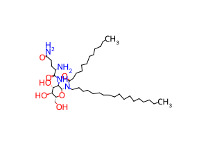 CCCCCCCCCCCCCCCCCCN(C(=O)CCCCCCCCCCC)[C@@H]1O[C@H](CO)[C@@H](O)[C@H](O)[C@H]1NC(=O)[C@@H](N)CCC(N)=O